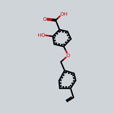 C=Cc1ccc(COc2ccc(C(=O)O)c(O)c2)cc1